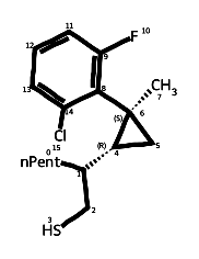 CCCCCC(CS)[C@H]1C[C@]1(C)c1c(F)cccc1Cl